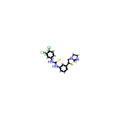 S=C(Nc1cccc(C2CN3CCN=C3S2)c1)Nc1ccc(Cl)c(Cl)c1